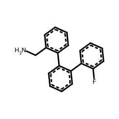 NCc1ccccc1-c1ccccc1-c1ccccc1F